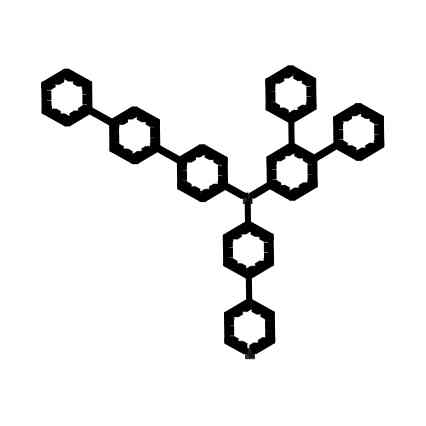 c1ccc(-c2ccc(-c3ccc(N(c4ccc(-c5ccncc5)cc4)c4ccc(-c5ccccc5)c(-c5ccccc5)c4)cc3)cc2)cc1